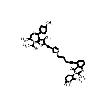 C=C1NC(=O)CCC1n1c(C)nc2cccc(C#CCCCn3cc(C#Cc4sc5c(c4C)C(c4ccc(C)cc4)=NCC(=C)N5C(C)=N)cn3)c2c1=O